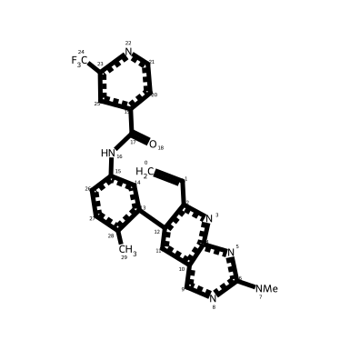 C=Cc1nc2nc(NC)ncc2cc1-c1cc(NC(=O)c2ccnc(C(F)(F)F)c2)ccc1C